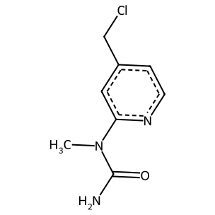 CN(C(N)=O)c1cc(CCl)ccn1